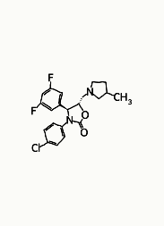 CC1CCN(C[C@@H]2OC(=O)N(c3ccc(Cl)cc3)[C@H]2c2cc(F)cc(F)c2)C1